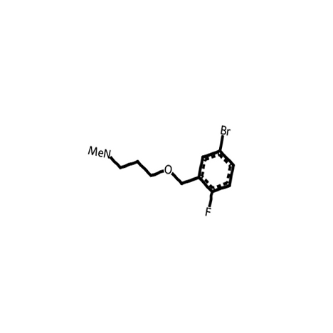 CNCCCOCc1cc(Br)ccc1F